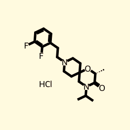 CC(C)N1CC2(CCN(CCc3cccc(F)c3F)CC2)O[C@H](C)C1=O.Cl